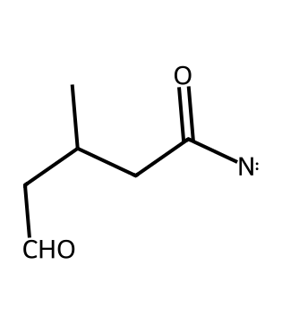 CC(CC=O)CC([N])=O